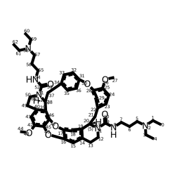 CCN(CC)CCCNC(=O)N1CCc2cc3c4cc2[C@@H]1Cc1ccc(OC)c(c1)Oc1ccc(cc1)C[C@H]1c2c(cc(OC)c(c2O4)O3)CCN1C(=O)NCCCN(CC)CC